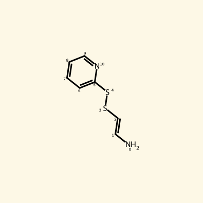 N/C=C/SSc1ccccn1